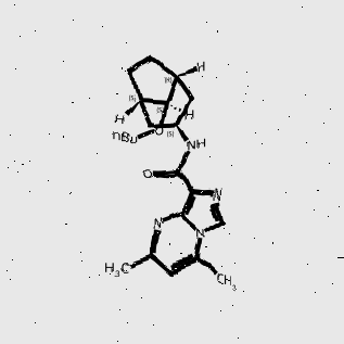 CCCCO[C@@H]1[C@@H]2CC[C@H]1C[C@H](NC(=O)c1ncn3c(C)cc(C)nc13)C2